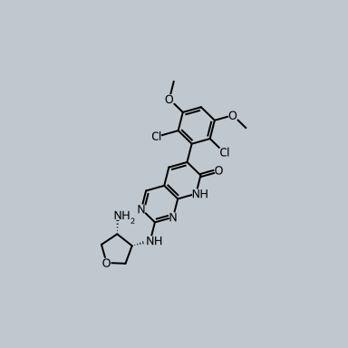 COc1cc(OC)c(Cl)c(-c2cc3cnc(N[C@@H]4COC[C@@H]4N)nc3[nH]c2=O)c1Cl